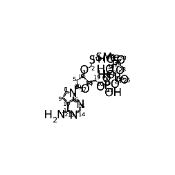 CSSCO[C@H]1C[C@H](n2ccc3c(N)ncnc32)O[C@@H]1COP(=O)(O)OP(=O)(O)OP(=O)(O)O